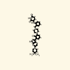 CC1(N)CCN(c2cnc3c(-c4cccc(N5CCN(Cc6ccccc6NC6CCC(=O)NC6=O)CC5)c4Cl)n[nH]c3n2)CC1